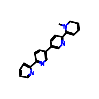 CN1CC=CC=C1c1ccc(-c2ccc(-c3ccccn3)nc2)cn1